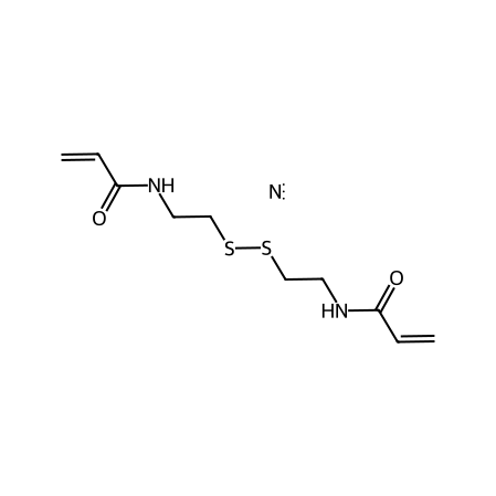 C=CC(=O)NCCSSCCNC(=O)C=C.[N]